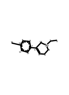 CCN1CCC=C(c2ccc(C)cc2)C1